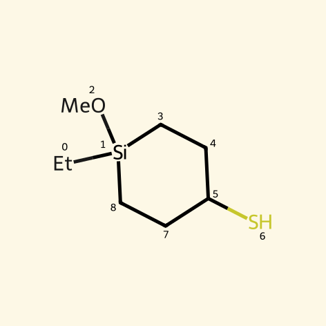 CC[Si]1(OC)CCC(S)CC1